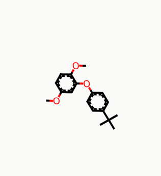 COc1ccc(OC)c(Oc2ccc(C(C)(C)C)cc2)c1